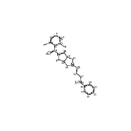 Cc1ccnc(C)c1C(=O)N1CC2CN(CCCNc3ccccc3)CC2C1